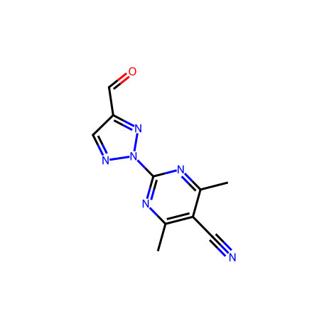 Cc1nc(-n2ncc(C=O)n2)nc(C)c1C#N